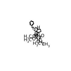 CC(C)C[C@@H](C(=O)N[C@@H]1CC[C@@H]2CN(Cc3ccccc3)C[C@@H]21)N(C)C(=O)OC(C)(C)C